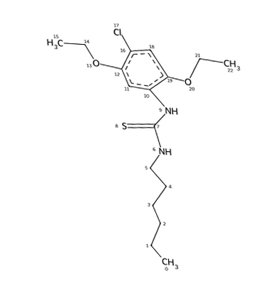 CCCCCCNC(=S)Nc1cc(OCC)c(Cl)cc1OCC